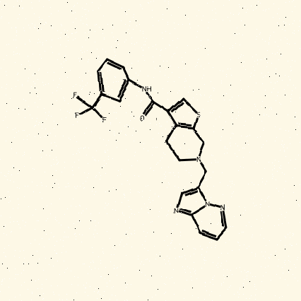 O=C(Nc1cccc(C(F)(F)F)c1)c1csc2c1CCN(Cc1cnc3cccnn13)C2